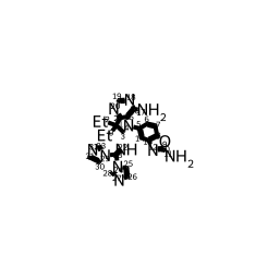 CCC1(CC)CN(c2ccc3oc(N)nc3c2)c2c(N)ncnc21.N=C(n1ccnc1)n1ccnc1